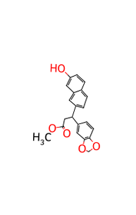 COC(=O)CC(c1ccc2c(c1)OCO2)c1ccc2ccc(O)cc2c1